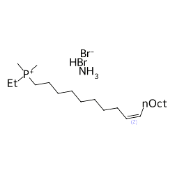 Br.CCCCCCCC/C=C\CCCCCCCC[P+](C)(C)CC.N.[Br-]